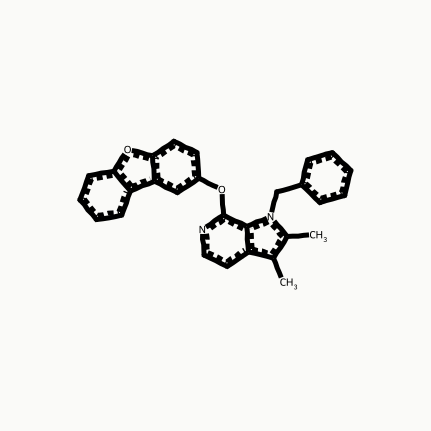 Cc1c(C)n(Cc2ccccc2)c2c(Oc3ccc4oc5ccccc5c4c3)nccc12